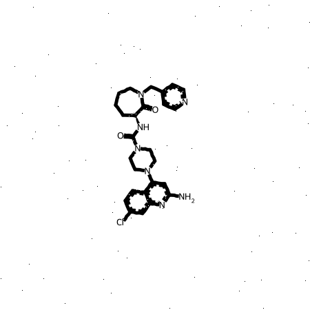 Nc1cc(N2CCN(C(=O)N[C@H]3CCCCN(Cc4ccncc4)C3=O)CC2)c2ccc(Cl)cc2n1